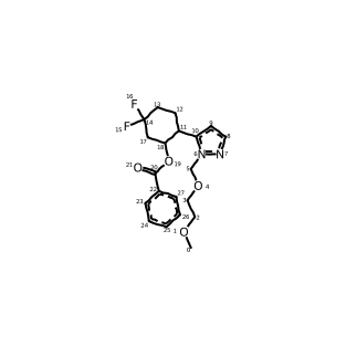 COCCOCn1nccc1C1CCC(F)(F)CC1OC(=O)c1ccccc1